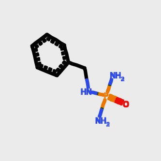 NP(N)(=O)NCc1ccccc1